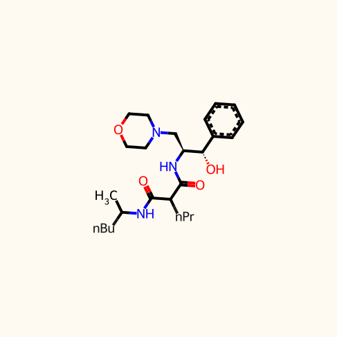 CCCCC(C)NC(=O)C(CCC)C(=O)N[C@@H](CN1CCOCC1)[C@@H](O)c1ccccc1